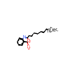 CCCCCCCCCCCCCCCCCc1nc2ccccc2c(=O)o1